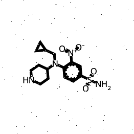 NS(=O)(=O)c1ccc(N(CC2CC2)C2CCNCC2)c([N+](=O)[O-])c1